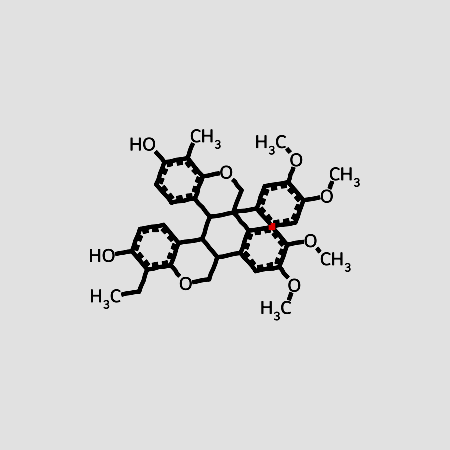 CCc1c(O)ccc2c1OCC1c3cc(OC)c(OC)cc3C3(c4ccc(OC)c(OC)c4)COc4c(ccc(O)c4C)C3C21